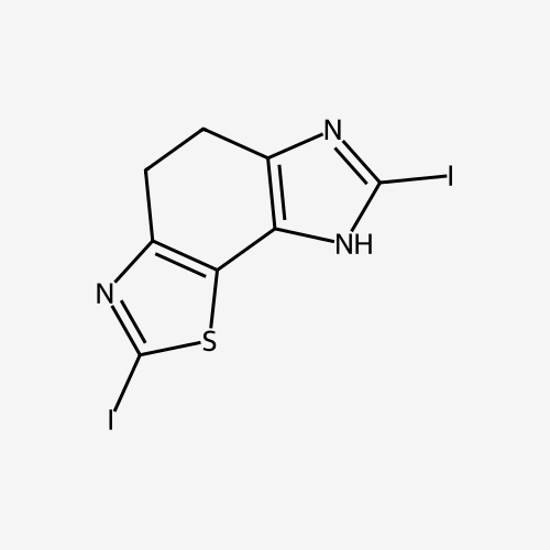 Ic1nc2c([nH]1)-c1sc(I)nc1CC2